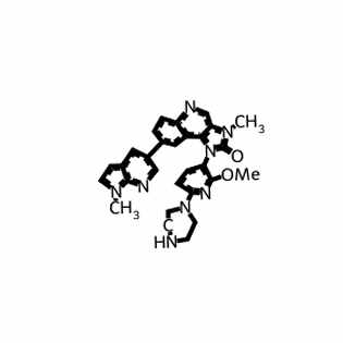 COc1nc(N2CCNCC2)ccc1-n1c(=O)n(C)c2cnc3ccc(-c4cnc5c(ccn5C)c4)cc3c21